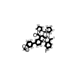 CC(Nc1cc(C(=O)N2CCC[C@H]2CN2CCCC2)c2cc(-c3ccc4c(c3)OCO4)ccc2n1)c1ccc(F)cc1